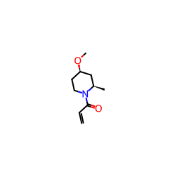 C=CC(=O)N1CC[C@@H](OC)C[C@H]1C